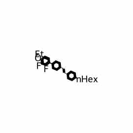 CCCCCC[C@H]1CC[C@H](CC[C@H]2CC[C@H](c3ccc(OCC)c(F)c3F)CC2)CC1